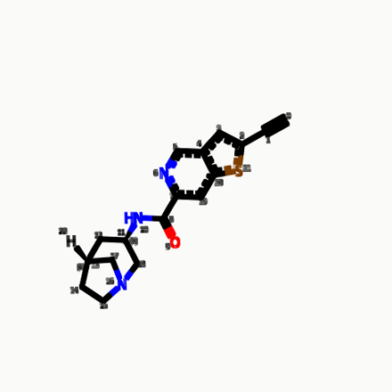 C#Cc1cc2cnc(C(=O)N[C@@H]3C[C@H]4CCN(C4)C3)cc2s1